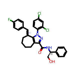 O=C(N[C@H](CO)c1ccccc1)c1nn(-c2ccc(Cl)cc2Cl)c2c1CCCC/C2=C\c1ccc(F)cc1